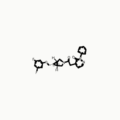 O=C(Cc1ccnn(-c2ccccc2)c1=O)N1C[C@@H]2[C@H](COc3cc(F)cc(F)c3)[C@@H]2C1